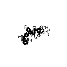 COc1cc(C(=O)N2CCC(CCN3CCC(Nc4nc5ccccc5[nH]4)CC3)(c3ccc(F)cc3)C2)cc(OC)c1OC